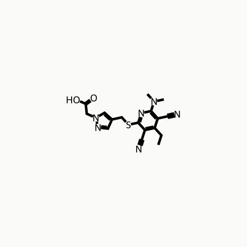 CCc1c(C#N)c(SCc2cnn(CC(=O)O)c2)nc(N(C)C)c1C#N